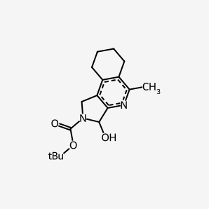 Cc1nc2c(c3c1CCCC3)CN(C(=O)OC(C)(C)C)C2O